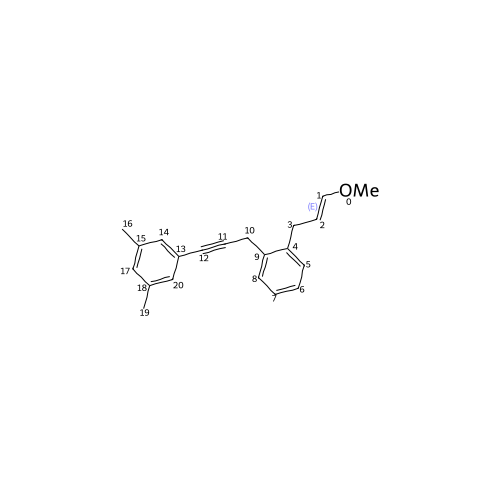 CO/C=C/Cc1ccccc1CC#Cc1cc(C)cc(C)c1